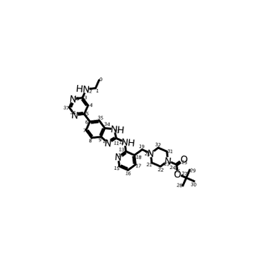 CCNc1cc(-c2ccc3nc(Nc4ncccc4CN4CCN(C(=O)OC(C)(C)C)CC4)[nH]c3c2)ncn1